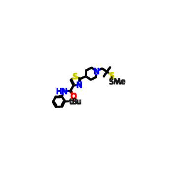 CSSC(C)(C)CN1CCC(c2nc(C(=O)Nc3ccccc3C(C)(C)C)cs2)CC1